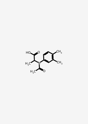 CC(=O)N(c1ccc(C)c(C)c1)C(C)C(=O)O